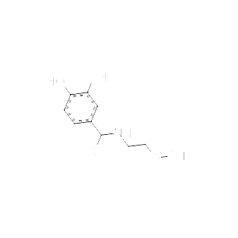 COCCNC(C)c1ccc(O)c(C)c1